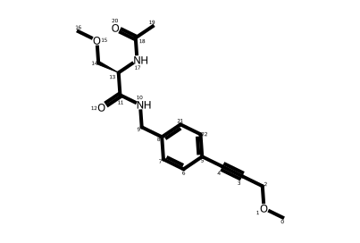 COCC#Cc1ccc(CNC(=O)[C@@H](COC)NC(C)=O)cc1